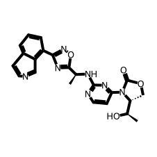 C[C@H](Nc1nccc(N2C(=O)OC[C@@H]2[C@@H](C)O)n1)c1nc(-c2cccc3ccncc23)no1